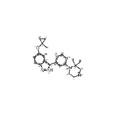 CC1(Oc2ccc3n[nH]c(-c4cc(N5CCNCC5(C)C)ncn4)c3c2)CC1